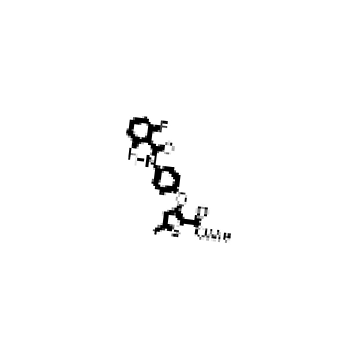 COC(=O)c1sc(C)cc1Oc1ccc(NC(=O)c2c(F)cccc2F)cc1